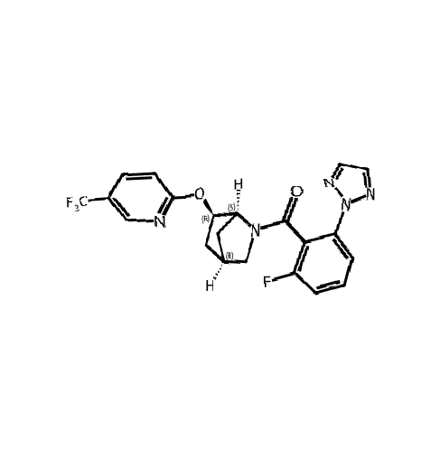 O=C(c1c(F)cccc1-n1nccn1)N1C[C@H]2C[C@@H](Oc3ccc(C(F)(F)F)cn3)[C@@H]1C2